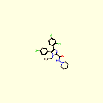 CCn1c(C(=O)NN2CCCCC2)nc(-c2ccc(Cl)cc2Cl)c1-c1ccc(Cl)cc1